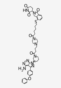 Nc1ncnc2c1c(-c1ccc(Oc3ccccc3)cc1)nn2[C@@H]1CCCN(C(=O)CCCN2CCN(C(=O)CCCCCSc3cccc4c3CN(C3CCC(=O)NC3=O)C4=O)CC2)C1